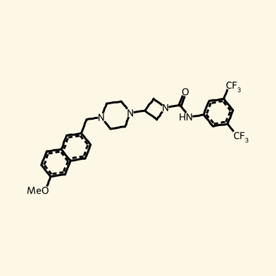 COc1ccc2cc(CN3CCN(C4CN(C(=O)Nc5cc(C(F)(F)F)cc(C(F)(F)F)c5)C4)CC3)ccc2c1